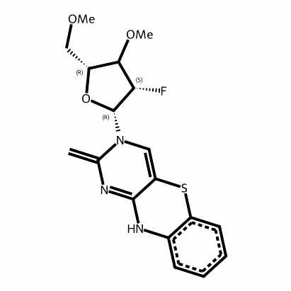 C=C1N=C2Nc3ccccc3SC2=CN1[C@@H]1O[C@H](COC)C(OC)[C@@H]1F